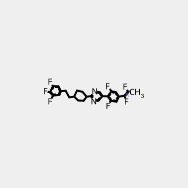 C/C(F)=C(\F)c1cc(F)c(-c2cnc(C3CCC(CCc4cc(F)c(F)c(F)c4)CC3)nc2)c(F)c1